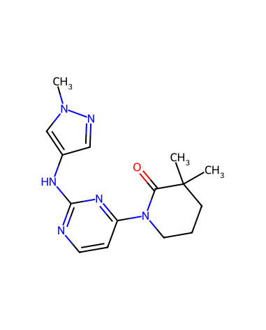 Cn1cc(Nc2nccc(N3CCCC(C)(C)C3=O)n2)cn1